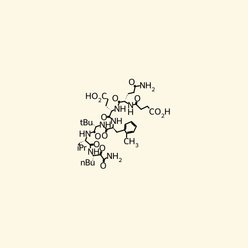 CCCC[C@H](NC(=O)[C@H](CC(C)C)NC(=O)[C@@H](NC(=O)[C@H](Cc1ccccc1C)NC(=O)[C@H](CCC(=O)O)NC(=O)[C@H](CCC(N)=O)NC(=O)CCC(=O)O)C(C)(C)C)C(=O)C(N)=O